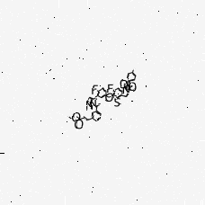 CCOC(=O)CCc1cccc(C(C)n2nccc2-c2cc(Oc3c(F)cc4c(ccn4S(=O)(=O)c4ccc(C)cc4)c3SC)ccc2F)c1